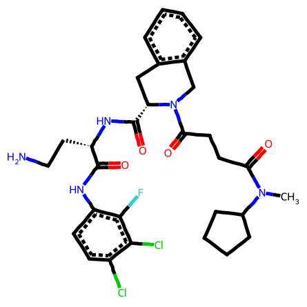 CN(C(=O)CCC(=O)N1Cc2ccccc2C[C@H]1C(=O)N[C@@H](CCN)C(=O)Nc1ccc(Cl)c(Cl)c1F)C1CCCC1